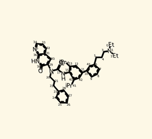 CCN(CC)CCCc1cccc(-c2cc(C(C)C)c(NC(=O)N(CCCc3ccccc3)c3cc4cccnc4[nH]c3=O)c(C(C)C)c2)c1